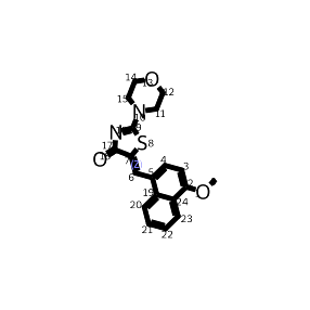 COc1ccc(/C=C2\SC(N3CCOCC3)=NC2=O)c2ccccc12